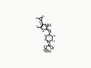 Cc1s/c(=N\C2CCN(C(=O)OC(C)(C)C)CC2)[nH]c1C1CC1